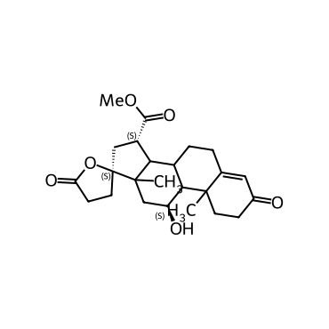 COC(=O)[C@H]1C[C@@]2(CCC(=O)O2)C2(C)C[C@H](O)C3C(CCC4=CC(=O)CCC43C)C12